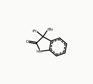 CC(C)C1(C(C)(C)C)C(=O)Nc2ccccc21